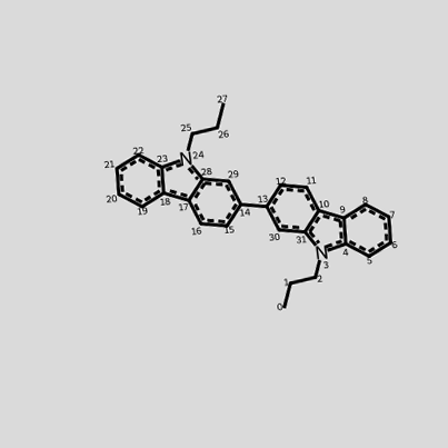 CCCn1c2ccccc2c2ccc(-c3ccc4c5ccccc5n(CCC)c4c3)cc21